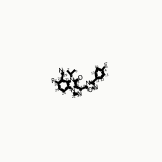 CC(C)n1c(=O)c2c(-c3nc(-c4ccc(F)cc4)no3)ncn2c2ccc(F)c(C#N)c21